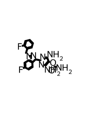 NC(=O)Oc1c(N)nc(-c2nn(Cc3ccccc3F)c3cc(F)ccc23)nc1N